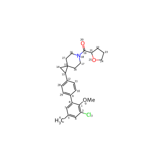 COc1c(Cl)cc(C)cc1-c1ccc(C2CC23CCN(C(=O)C2CCCO2)CC3)cc1